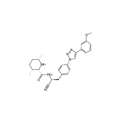 COc1cccc(-c2cn(-c3ccc(C[C@@H](C#N)NC(=O)[C@H]4N[C@@H](C)CC[C@H]4C)cc3)nn2)c1